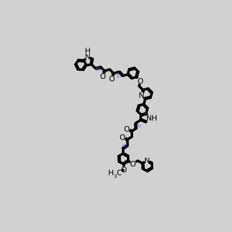 COc1ccc(/C=C/C(=O)CC(=O)/C=C/c2c[nH]c3cc(-c4cccc(COc5cccc(/C=C/C(=O)CC(=O)/C=C/c6c[nH]c7ccccc67)c5)n4)ccc23)cc1OCc1ccccn1